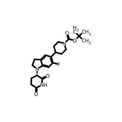 CC(C)(C)OC(=O)N1CCC(c2cc3c(cc2F)N([C@@H]2CCC(=O)NC2=O)CC3)CC1